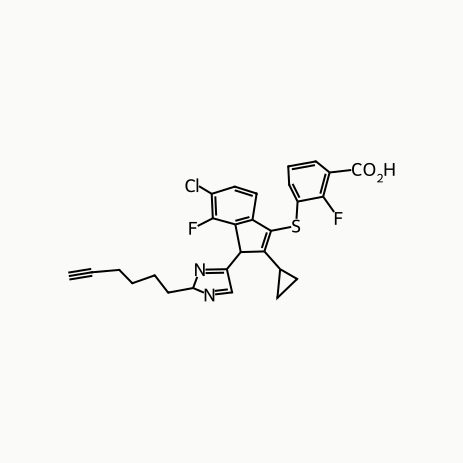 C#CCCCCC1N=CC(C2C(C3CC3)=C(Sc3cccc(C(=O)O)c3F)c3ccc(Cl)c(F)c32)=N1